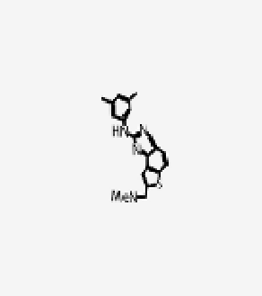 CNCc1cc2c(ccc3cnc(Nc4cc(C)cc(C)c4)nc32)s1